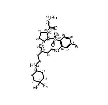 CC[C@H](CCNC1CCC(F)(F)CC1)CCOc1cc(C)ccc1S(=O)(=O)N1CCC[C@H]1C(=O)OC(C)(C)C